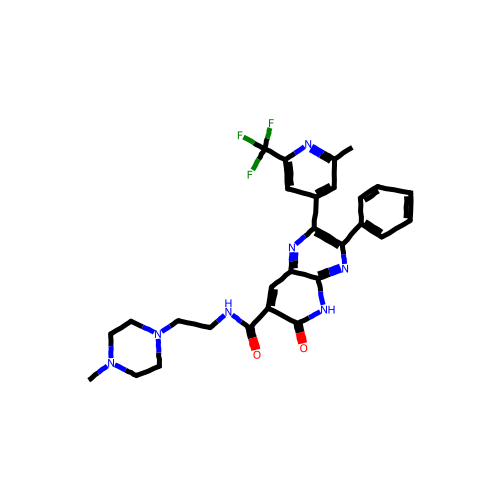 Cc1cc(-c2nc3cc(C(=O)NCCN4CCN(C)CC4)c(=O)[nH]c3nc2-c2ccccc2)cc(C(F)(F)F)n1